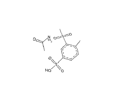 CC(N)=O.Cc1ccc(S(=O)(=O)O)cc1S(C)(=O)=O